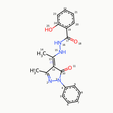 CC1=NN(c2ccccc2)C(=O)/C1=C(/C)NNC(=O)c1ccccc1O